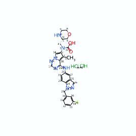 Cc1c(N(C[C@H]2COCCN2)C(=O)O)cn2ncnc(Nc3ccc4c(cnn4Cc4cccc(F)c4)c3)c12.Cl.Cl